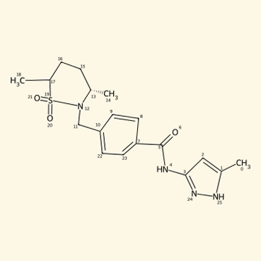 Cc1cc(NC(=O)c2ccc(CN3[C@@H](C)CCC(C)S3(=O)=O)cc2)n[nH]1